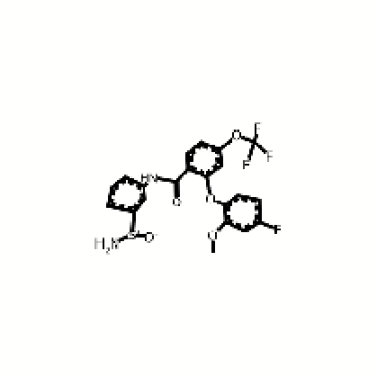 COc1cc(F)ccc1Oc1cc(OC(F)(F)F)ccc1C(=O)Nc1cccc([S+](N)[O-])c1